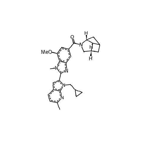 COc1cc(C(=O)N2C[C@H]3CC4C[C@@H]2[C@H]43)cc2nc(-c3cc4ccc(C)nc4n3CC3CC3)n(C)c12